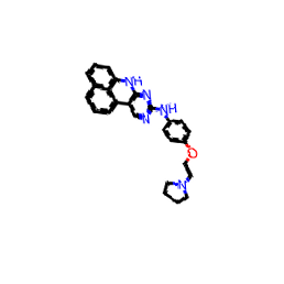 c1cc2c3c(cccc3c1)-c1cnc(Nc3ccc(OCCN4CCCC4)cc3)nc1N2